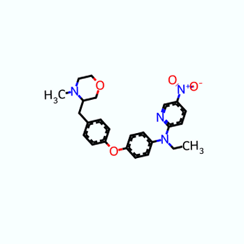 CCN(c1ccc(Oc2ccc(CC3COCCN3C)cc2)cc1)c1ccc([N+](=O)[O-])cn1